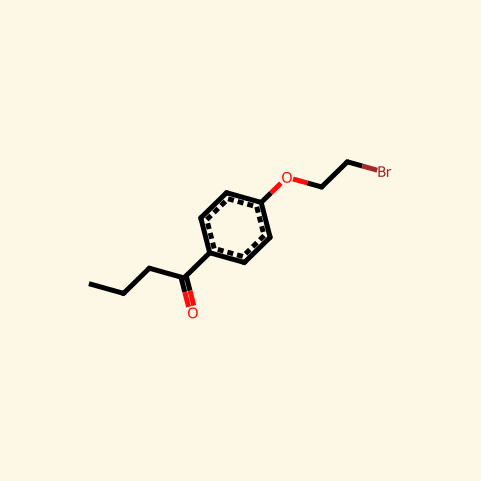 CCCC(=O)c1ccc(OCCBr)cc1